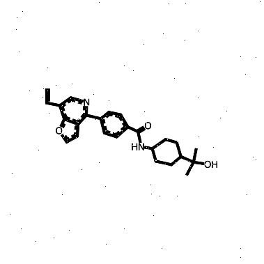 C=Cc1cnc(-c2ccc(C(=O)NC3CCC(C(C)(C)O)CC3)cc2)c2ccoc12